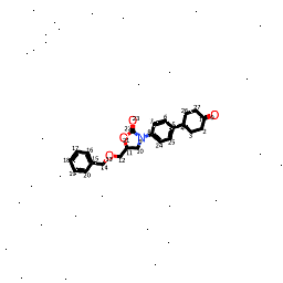 O=C1CCC(c2ccc(N3CC(COCc4ccccc4)OC3=O)cc2)CC1